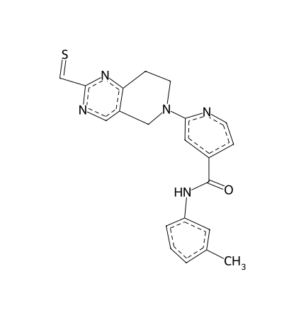 Cc1cccc(NC(=O)c2ccnc(N3CCc4nc(C=S)ncc4C3)c2)c1